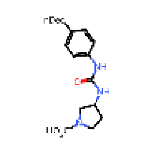 CCCCCCCCCCc1ccc(NC(=O)N[C@H]2CCN(C(=O)O)C2)cc1